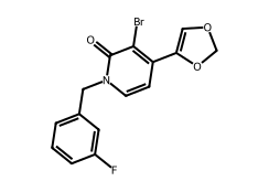 O=c1c(Br)c(C2=COCO2)ccn1Cc1cccc(F)c1